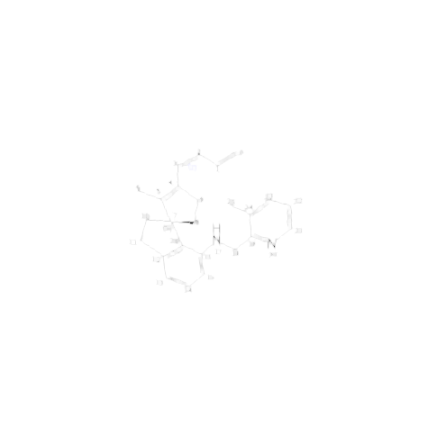 C=C/C=C\C1=C(C)[C@@]2(CC1)CCc1cccc(NCc3ncccc3C)c12